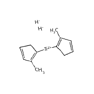 CC1=[C]([Ti+2][C]2=C(C)C=CC2)CC=C1.[H-].[H-]